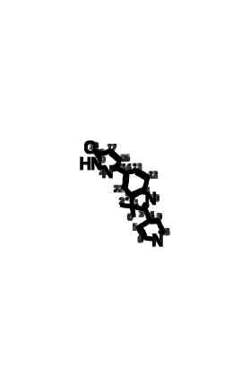 CC1(C)C(c2ccncc2)=Nc2ccc(-c3ccc(=O)[nH]n3)cc21